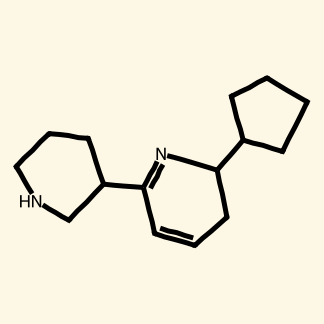 C1=CC(C2CCCNC2)=NC(C2CCCC2)C1